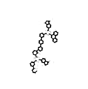 CC1(C)CC(C)(C)c2cc(-c3nc(-c4cccc(-c5ccc(-c6ccc7sc8c(c7c6)C=CCC8c6nc(-c7cccc(-c8ccccn8)c7)nc(-c7ccc8c(c7)C(C)(C)CC8(C)C)n6)cc5)c4)nc(-c4cc5ccccc5c5ccccc45)n3)ccc21